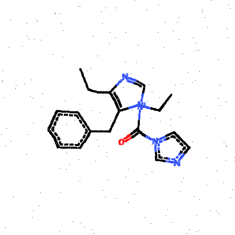 CCC1=C(Cc2ccccc2)[N+](CC)(C(=O)n2ccnc2)C=N1